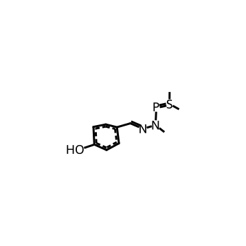 CN(/N=C/c1ccc(O)cc1)P=S(C)C